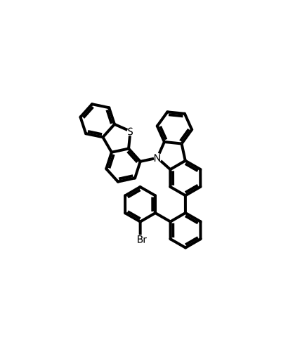 Brc1ccccc1-c1ccccc1-c1ccc2c3ccccc3n(-c3cccc4c3sc3ccccc34)c2c1